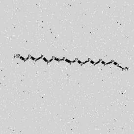 CCCB=PP=PP=PP=PP=PP=PP=PP=PP=P